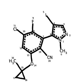 Cn1ncc(I)c1-c1c(F)c(Cl)cc(OC2(C)CC2)c1C#N